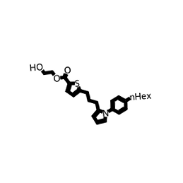 CCCCCCc1ccc(-n2cccc2CCCc2ccc(C(=O)OCCO)s2)cc1